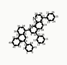 c1ccc(-c2cc3c(-c4cc(-c5ccccc5)c5ccc6c(-c7ccccc7)ccnc6c5n4)cccc3c3ccccc23)cc1